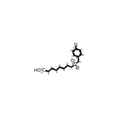 O=C(O)CCCCCCCS(=O)(=O)Cc1ccc(Cl)cc1